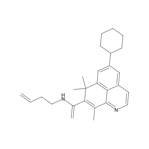 C=CCCNC(=C)C1=C(C)c2nccc3cc(C4CCCCC4)cc(c23)C1(C)C